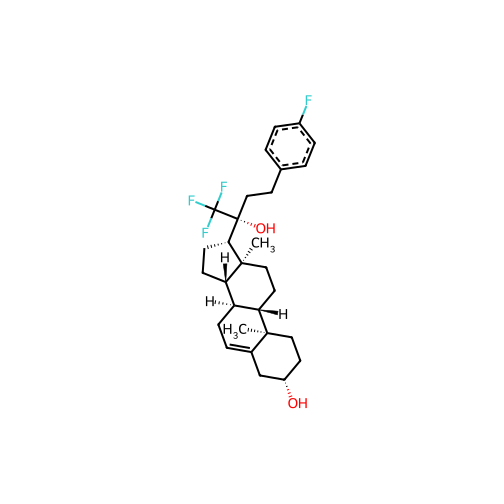 C[C@]12CC[C@H]3[C@@H](CC=C4C[C@@H](O)CC[C@@]43C)[C@@H]1CC[C@@H]2[C@](O)(CCc1ccc(F)cc1)C(F)(F)F